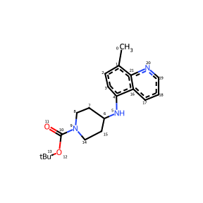 Cc1ccc(NC2CCN(C(=O)OC(C)(C)C)CC2)c2cccnc12